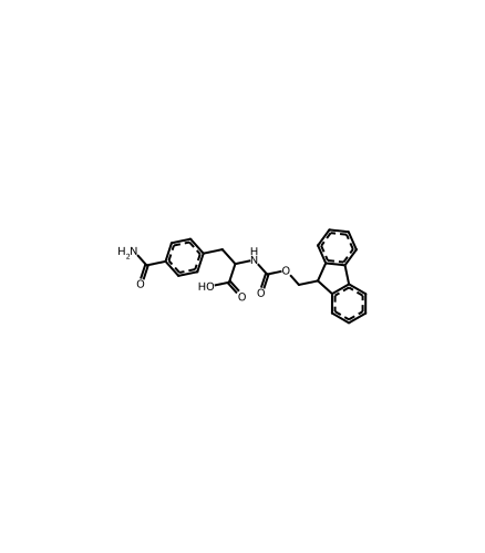 NC(=O)c1ccc(CC(NC(=O)OCC2c3ccccc3-c3ccccc32)C(=O)O)cc1